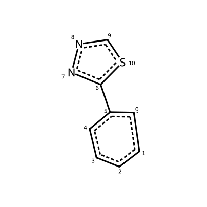 [c]1ccccc1-c1nncs1